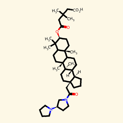 CC(C)(CC(=O)O)CC(=O)O[C@H]1CC[C@@]2(C)C(CC[C@]3(C)C2CC[C@@H]2[C@H]4CCC[C@]4(CC(=O)N4CC[C@@H](N5CCCC5)C4)CC[C@]23C)C1(C)C